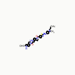 CC(=O)OCCCN(C)c1ccc(/N=N/c2nc3ccc(C(=O)N4CCc5c4ccc4[nH]c(C(=O)N6CCc7c6ccc6[nH]c(C=O)cc76)cc54)cc3s2)cc1